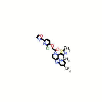 Cc1nc(C)c(C2c3c(nc4cc(C(F)(F)F)ccn34)CCN2C(=O)COc2ccc(-c3ncco3)nc2Cl)s1